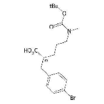 CN(CCC[C@H](Cc1ccc(Br)cc1)C(=O)O)C(=O)OC(C)(C)C